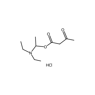 CCN(CC)C(C)OC(=O)CC(C)=O.Cl